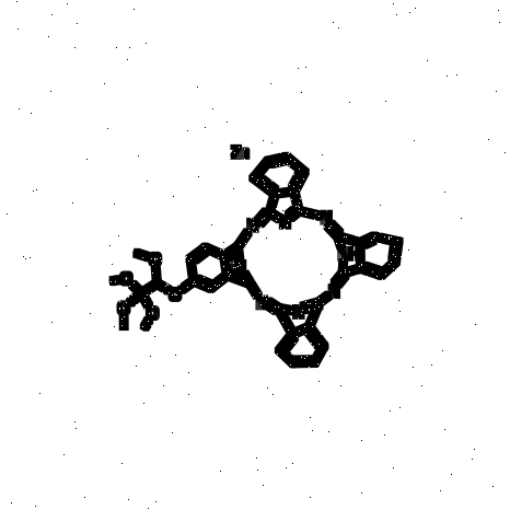 COC(Oc1ccc2c3nc4nc(nc5[nH]c(nc6nc(nc([nH]3)c2c1)-c1ccccc1-6)c1ccccc51)-c1ccccc1-4)C(OC)(OC)OC.[Zn]